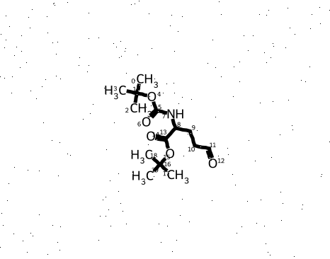 CC(C)(C)OC(=O)NC(CCC=O)C(=O)OC(C)(C)C